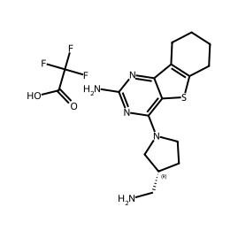 NC[C@H]1CCN(c2nc(N)nc3c4c(sc23)CCCC4)C1.O=C(O)C(F)(F)F